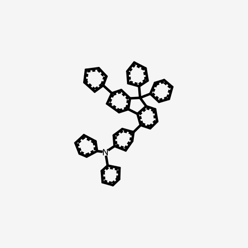 c1ccc(-c2ccc3c(c2)C(c2ccccc2)(c2ccccc2)c2cccc(-c4ccc(N(c5ccccc5)c5ccccc5)cc4)c2-3)cc1